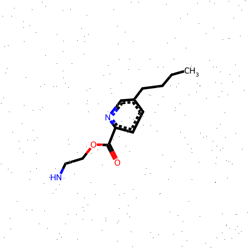 CCCCc1ccc(C(=O)OCC[NH])nc1